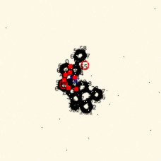 c1ccc(-c2ccccc2N(c2ccc3c(c2)C2(c4ccccc4-c4ccccc4-3)c3ccccc3-c3cc4oc5ccccc5c4cc32)c2ccc3c(c2)oc2ccccc23)cc1